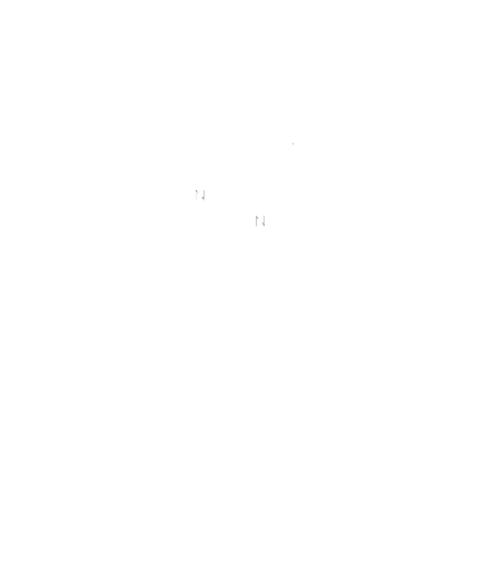 c1ccc(-c2ccc(-c3ccc(N(c4ccccc4)c4nccc5c4oc4ccccc45)cc3)cc2)cc1